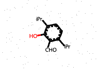 CC(C)c1ccc(C(C)C)c(C=O)c1O